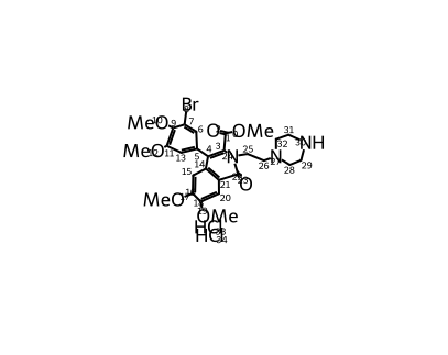 COC(=O)c1c(-c2cc(Br)c(OC)c(OC)c2)c2cc(OC)c(OC)cc2c(=O)n1CCN1CCNCC1.Cl.Cl